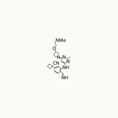 CNCCOC1CCN(c2cc(Nc3cc(C4(C#N)CCC4)ccc3C=N)nc(C)n2)C1